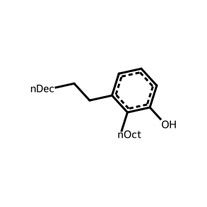 CCCCCCCCCCCCc1cccc(O)c1CCCCCCCC